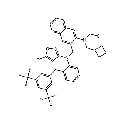 CCN(CC1CCC1)c1nc2ccccc2cc1CN(c1cc(C)on1)c1ccccc1Cc1cc(C(F)(F)F)cc(C(F)(F)F)c1